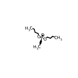 CC#CP(=O)(OCCCC)OCCCC